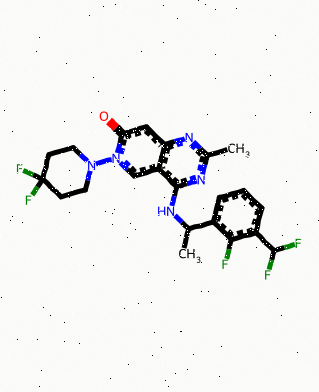 Cc1nc(NC(C)c2cccc(C(F)F)c2F)c2cn(N3CCC(F)(F)CC3)c(=O)cc2n1